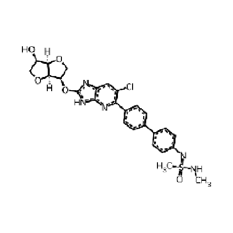 CN[S@](C)(=O)=Nc1ccc(-c2ccc(-c3nc4[nH]c(O[C@@H]5CO[C@H]6[C@@H]5OC[C@H]6O)nc4cc3Cl)cc2)cc1